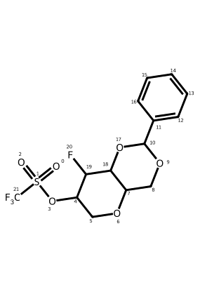 O=S(=O)(OC1COC2COC(c3ccccc3)OC2C1F)C(F)(F)F